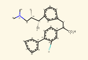 CC[C@@H](c1cccc(CC(C(=O)O)c2ccc(-c3ccccc3)c(F)c2)c1)[C@@H](C)CN(C)C